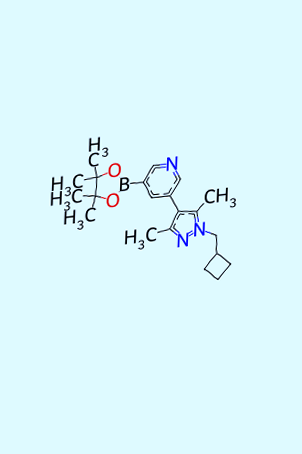 Cc1nn(CC2CCC2)c(C)c1-c1cncc(B2OC(C)(C)C(C)(C)O2)c1